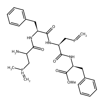 C=PC[C@H](NC(=O)[C@H](Cc1ccccc1)NC(=O)C(N)C[PH](=C)C)C(=O)N[C@@H](Cc1ccccc1)C(=O)OC